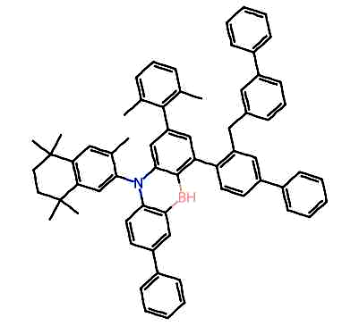 Cc1cc2c(cc1N1c3ccc(-c4ccccc4)cc3Bc3c(-c4ccc(-c5ccccc5)cc4Cc4cccc(-c5ccccc5)c4)cc(-c4c(C)cccc4C)cc31)C(C)(C)CCC2(C)C